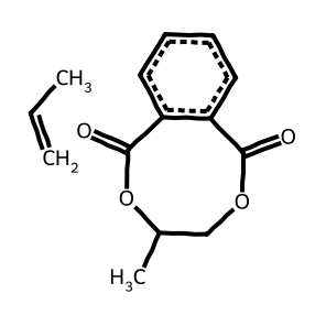 C=CC.CC1COC(=O)c2ccccc2C(=O)O1